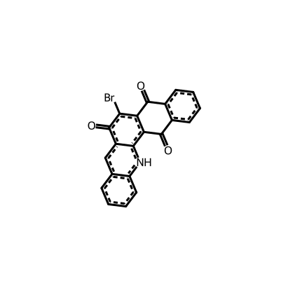 O=C1c2ccccc2C(=O)c2c1c1[nH]c3ccccc3cc-1c(=O)c2Br